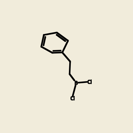 ClB(Cl)CCc1ccccc1